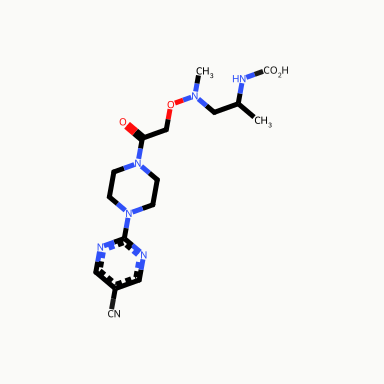 CC(CN(C)OCC(=O)N1CCN(c2ncc(C#N)cn2)CC1)NC(=O)O